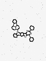 C1=CC2C(n3c4ccccc4c4cc5oc6c(-c7ccccc7)nc(-c7ccccc7)nc6c5cc43)=CC=C3c4ccccc4C(=C1)C32